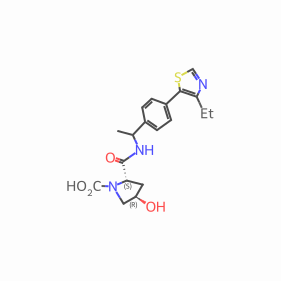 CCc1ncsc1-c1ccc(C(C)NC(=O)[C@@H]2C[C@@H](O)CN2C(=O)O)cc1